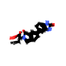 CC[C@@H](C(=O)O)N1Cc2ccc(-c3ccc4[nH]c(=O)[nH]c4c3)cc2C1=O